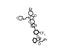 CCN1CCC2(CC1)C(=O)N(Cc1nc(-c3ccc(Oc4ccccc4S(=O)(=O)CC(C)C)c(C(F)(F)F)c3)no1)C(=O)N2CCN1CCOCC1